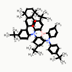 Cc1ccc2c(c1)B1c3cc(C(C)(C)C)ccc3N(c3ccc(C(C)(C)C)cc3-c3ccc4c(c3)C(C)(C)CCC4(C)C)c3cc(C(C)(C)C)cc(c31)N2c1ccc(C(C)(C)C)cc1